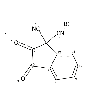 N#CC1(C#N)C(=O)C(=O)c2ccccc21.[B]